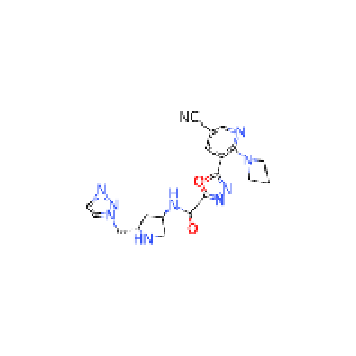 N#Cc1cnc(N2CCC2)c(-c2nnc(C(=O)N[C@H]3CN[C@H](Cn4ccnn4)C3)o2)c1